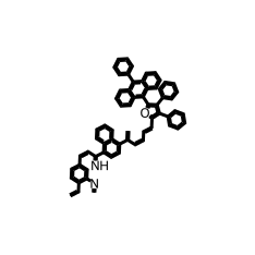 C=Cc1ccc(/C=C\C(=N)c2ccc(C(=C)/C=C\C=C\c3oc(-c4c5ccccc5c(-c5ccccc5)c5ccccc45)c(-c4ccccc4)c3-c3ccccc3)c3ccccc23)cc1N=C